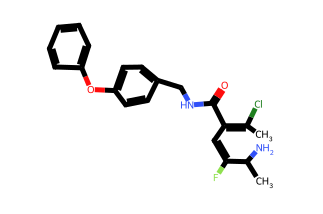 C/C(Cl)=C(\C=C(\F)C(C)N)C(=O)NCc1ccc(Oc2ccccc2)cc1